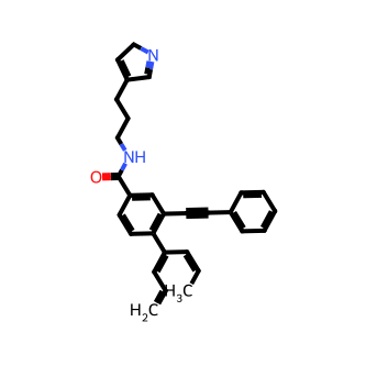 C=C/C=C(\C=C/C)c1ccc(C(=O)NCCCC2=CCN=C2)cc1C#Cc1ccccc1